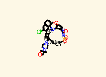 CO[C@]1(CN2CCN(C3(C)COC3)CC2)/C=C/C[C@H](C)[C@@H](C)S(=O)(=O)NC(=O)c2ccc3c(c2)N(C[C@@H]2CC[C@H]21)C[C@@]1(CCCc2cc(Cl)ccc21)CO3